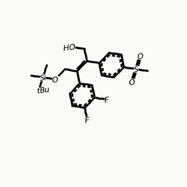 CC(C)(C)[Si](C)(C)OCC(=C(CO)c1ccc(S(C)(=O)=O)cc1)c1ccc(F)c(F)c1